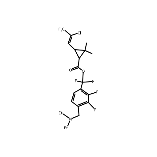 CCN(CC)Cc1ccc(C(F)(F)OC(=O)C2C(C=C(Cl)C(F)(F)F)C2(C)C)c(F)c1F